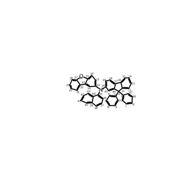 c1ccc(C2(c3ccccc3)c3ccccc3-c3ccc(N(c4ccc5oc6ccccc6c5c4)c4cccc5ccccc45)cc32)cc1